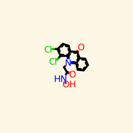 O=C(Cn1c2ccccc2c(=O)c2ccc(Cl)c(Cl)c21)NO